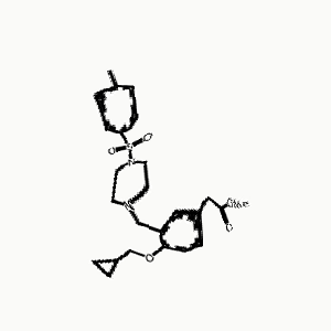 COC(=O)Cc1ccc(OCC2CC2)c(CN2CCN(S(=O)(=O)c3ccc(C)cc3)CC2)c1